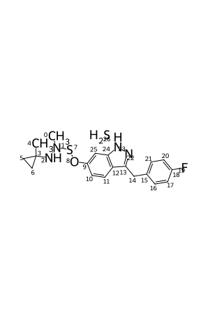 CN(NC1(C)CC1)SOc1ccc2c(Cc3ccc(F)cc3)n[nH]c2c1.S